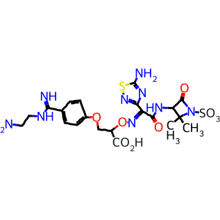 CC1(C)C(NC(=O)C(=NOC(COc2ccc(C(=N)NCCN)cc2)C(=O)O)c2nsc(N)n2)C(=O)N1S(=O)(=O)O